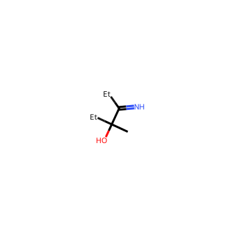 CCC(=N)C(C)(O)CC